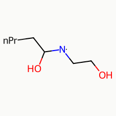 CCCCC(O)[N]CCO